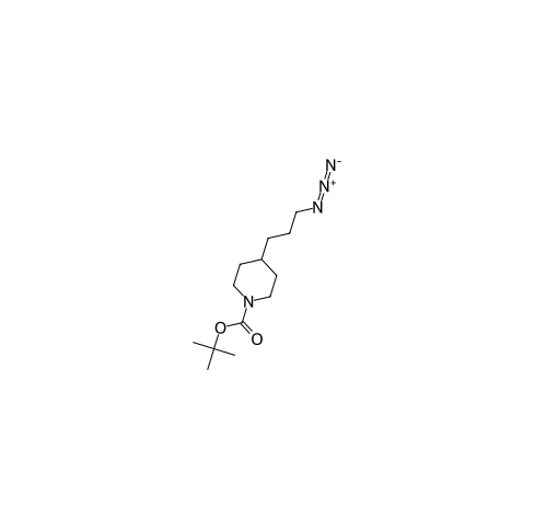 CC(C)(C)OC(=O)N1CCC(CCCN=[N+]=[N-])CC1